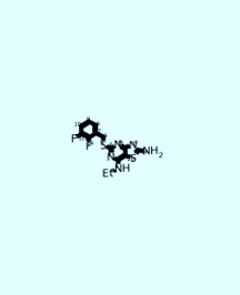 CCNc1nc(SCc2cccc(F)c2F)nc2nc(N)sc12